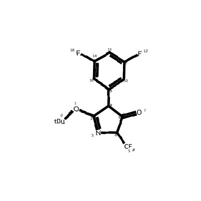 CC(C)(C)OC1=NC(C(F)(F)F)C(=O)C1c1cc(F)cc(F)c1